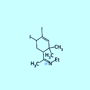 CC/N=C(/C)C1CC(I)C(I)=CC1(C)C